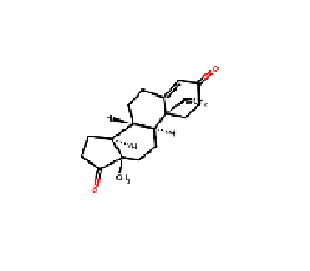 C=C[C@]12CCC(=O)C=C1CC[C@@H]1[C@@H]2CC[C@]2(C)C(=O)CC[C@@H]12